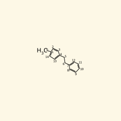 Cc1ccc(CCc2[c]cccc2)cc1